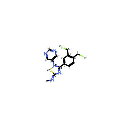 CN=c1nc(-c2ccc(CF)c(CF)c2)n(-c2cncnc2)s1